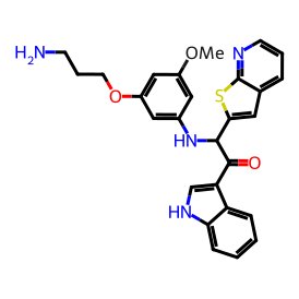 COc1cc(NC(C(=O)c2c[nH]c3ccccc23)c2cc3cccnc3s2)cc(OCCCN)c1